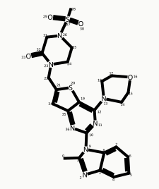 Cc1nc2ccccc2n1-c1nc(N2CCOCC2)c2sc(CN3CCN(S(C)(=O)=O)CC3=O)cc2n1